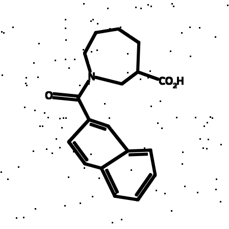 O=C(O)C1CCCCN(C(=O)c2ccc3ccccc3c2)C1